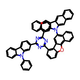 c1ccc(-c2nc(-c3ccc4c5ccccc5n(-c5ccccc5)c4c3)nc(-c3cccc4oc5c6ccccc6c(-n6c7cc8ccccc8cc7c7cc8ccccc8cc76)cc5c34)n2)cc1